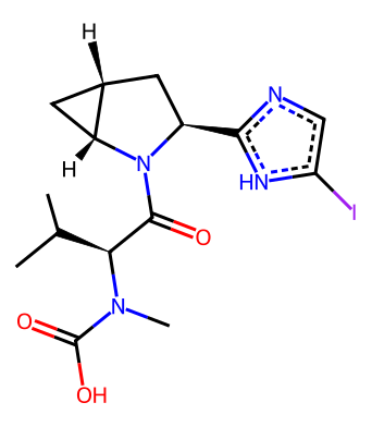 CC(C)[C@@H](C(=O)N1[C@@H]2C[C@@H]2C[C@H]1c1ncc(I)[nH]1)N(C)C(=O)O